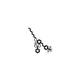 CCCCCCCCOc1ccc(CCc2ccc(C(F)(F)F)cc2)c(OC(=O)c2ccccc2)c1F